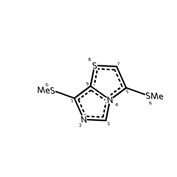 CSc1ncn2c(SC)csc12